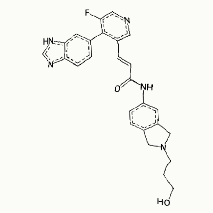 O=C(/C=C/c1cncc(F)c1-c1ccc2nc[nH]c2c1)Nc1ccc2c(c1)CN(CCCO)C2